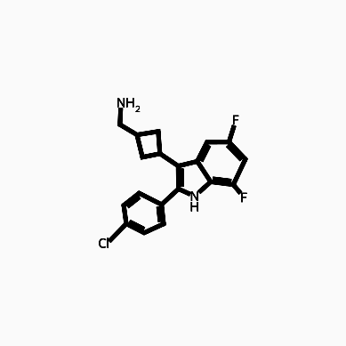 NCC1CC(c2c(-c3ccc(Cl)cc3)[nH]c3c(F)cc(F)cc23)C1